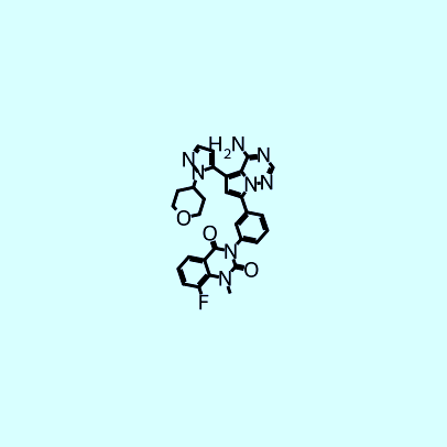 Cn1c(=O)n(-c2cccc(-c3cc(-c4ccnn4C4CCOCC4)c4c(N)ncnn34)c2)c(=O)c2cccc(F)c21